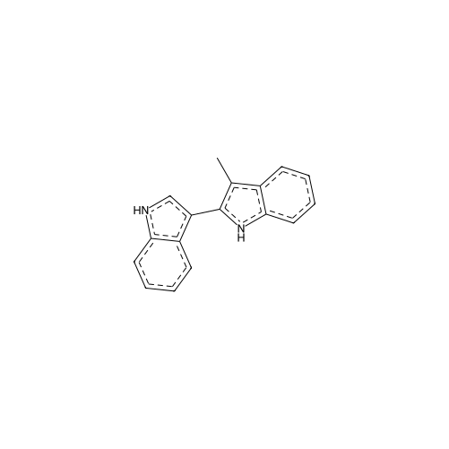 Cc1c(-c2c[nH]c3ccccc23)[nH]c2ccccc12